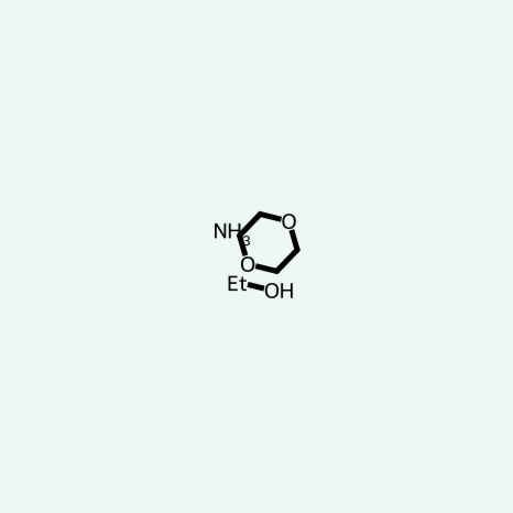 C1COCCO1.CCO.N